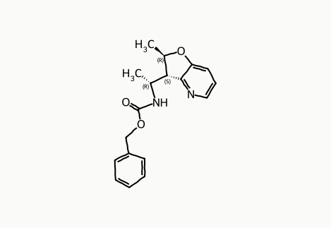 C[C@@H](NC(=O)OCc1ccccc1)[C@H]1c2ncccc2O[C@@H]1C